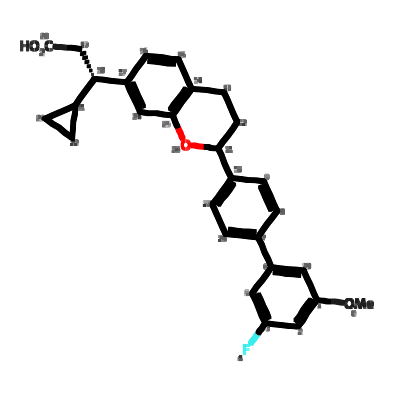 COc1cc(F)cc(-c2ccc(C3CCc4ccc([C@@H](CC(=O)O)C5CC5)cc4O3)cc2)c1